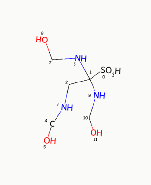 O=S(=O)(O)C(CNCO)(NCO)NCO